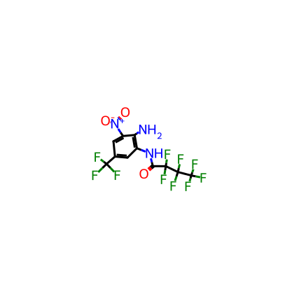 Nc1c(NC(=O)C(F)(F)C(F)(F)C(F)(F)F)cc(C(F)(F)F)cc1[N+](=O)[O-]